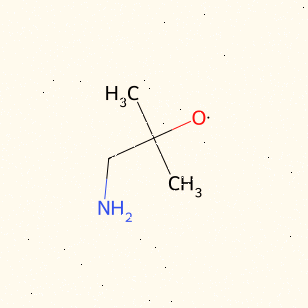 CC(C)([O])CN